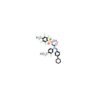 Cc1c(F)c(F)c(S(=O)(=O)N(C)CC(=O)N(Cc2ccc(C3CCCCC3)cc2)c2ccc(C(=O)O)c(F)c2)c(F)c1F